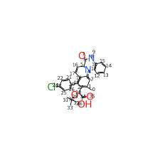 Cc1cc2nc(C(=O)N(C)c3ccccc3)ccc2c(-c2ccc(Cl)cc2)c1C(OC(C)(C)C)C(=O)O